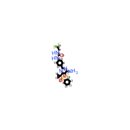 Nc1cc(C2(S(=O)(=O)c3ccccc3F)CC2)nc(-c2ccc(NC(=O)NCC(F)F)cc2)n1